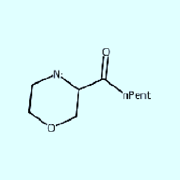 CCCCCC(=O)C1COCC[N]1